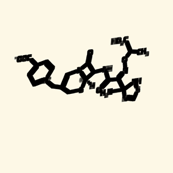 CC(ON=C(C(=O)NC1C(=O)N2C=C(C[n+]3ccc(C(=O)[O-])cc3)CS[C@H]12)C1(N)N=CSN1)C(=O)O